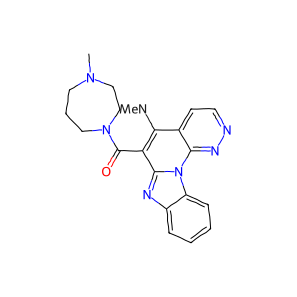 CNc1c(C(=O)N2CCCN(C)CC2)c2nc3ccccc3n2c2nnccc12